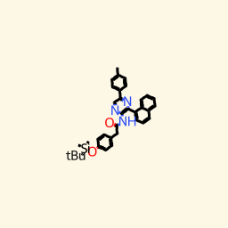 Cc1ccc(-c2cnc(NC(=O)Cc3ccc(O[Si](C)(C)C(C)(C)C)cc3)c(-c3cccc4ccccc34)n2)cc1